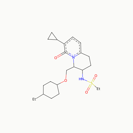 CCC1CCC(OCC2C(NS(=O)(=O)CC)CCc3ccc(C4CC4)c(=O)n32)CC1